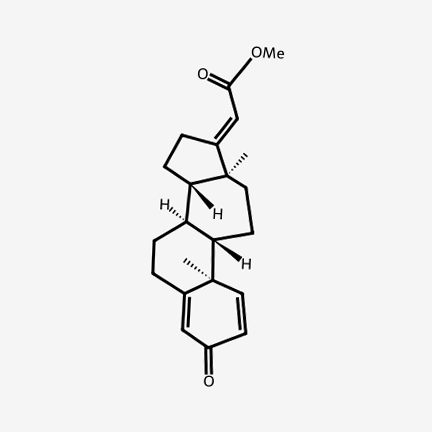 COC(=O)C=C1CC[C@H]2[C@@H]3CCC4=CC(=O)C=C[C@]4(C)[C@H]3CC[C@]12C